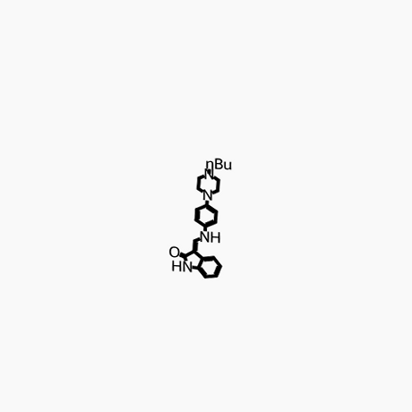 CCCCN1CCN(c2ccc(N/C=C3/C(=O)Nc4ccccc43)cc2)CC1